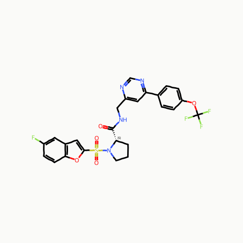 O=C(NCc1cc(-c2ccc(OC(F)(F)F)cc2)ncn1)[C@@H]1CCCN1S(=O)(=O)c1cc2cc(F)ccc2o1